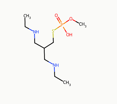 CCNCC(CNCC)CSP(=O)(O)OC